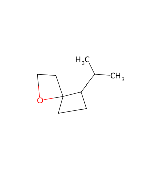 CC(C)C1CCC12CCO2